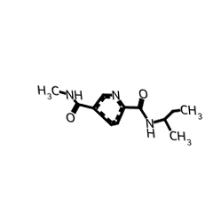 CCC(C)NC(=O)c1ccc(C(=O)NC)cn1